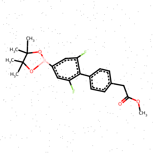 COC(=O)Cc1ccc(-c2c(F)cc(B3OC(C)(C)C(C)(C)O3)cc2F)cc1